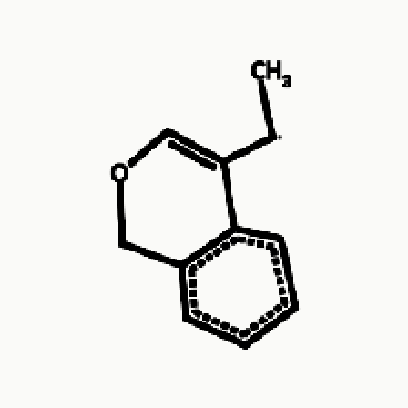 C[CH]C1=COCc2ccccc21